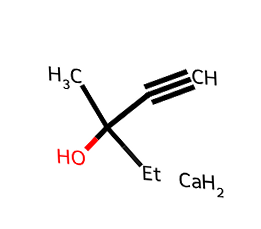 C#CC(C)(O)CC.[CaH2]